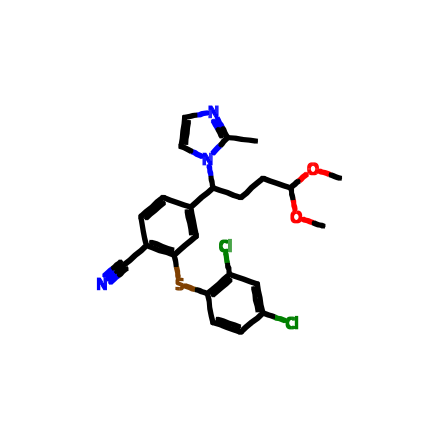 COC(CCC(c1ccc(C#N)c(Sc2ccc(Cl)cc2Cl)c1)n1ccnc1C)OC